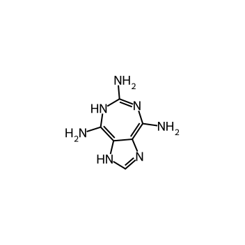 NC1=NC(N)=c2nc[nH]c2=C(N)N1